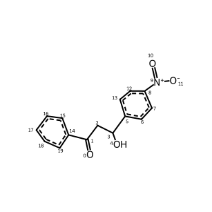 O=C(CC(O)c1ccc([N+](=O)[O-])cc1)c1ccccc1